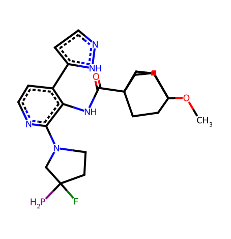 COC12CCC(C(=O)Nc3c(-c4ccn[nH]4)ccnc3N3CCC(F)(P)C3)(CC1)CC2